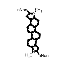 CCCCCCCCCc1cc2c3ccc4c(ccc5c4ccc4c5cc(CCCCCCCCC)n4C)c3ccc2n1C